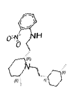 C[C@@H]1CCC[C@H](CCN2[C@@H](CCNc3ccccc3[N+](=O)[O-])CCC[C@H]2C)C1